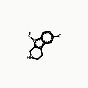 Fc1ccc2c(c1)c1c(n2SI)CNCC1